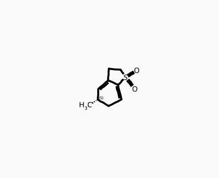 C[C@@H]1C=C2CCS(=O)(=O)C2=CC1